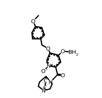 BOc1cc(C(=O)N2CCN3CCC2CC3)[n+]([O-])cc1OCc1ccc(OC)cc1